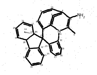 CC1=C(N)C2=C=C3C(=CC=C2)C2(c4ccccc4C4C=CC=C[C@]42C)c2ccccc2N31